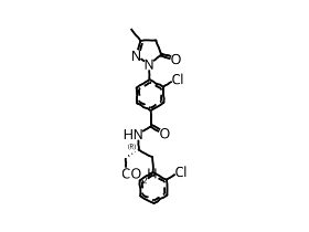 CC1=NN(c2ccc(C(=O)N[C@@H](CC(=O)O)Cc3ccccc3Cl)cc2Cl)C(=O)C1